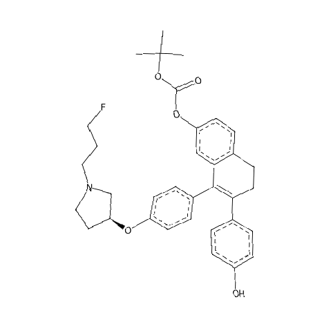 CC(C)(C)OC(=O)Oc1ccc2c(c1)C(c1ccc(O[C@H]3CCN(CCCF)C3)cc1)=C(c1ccc(O)cc1)CC2